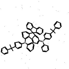 CC(C)(c1ccccc1)c1ccc(N(c2ccccc2)c2ccc3c(c2)C2(c4ccccc4-c4ccccc42)c2cccc(N(c4ccccc4)c4ccc(C(C)(C)c5ccccc5)cc4)c2-3)cc1